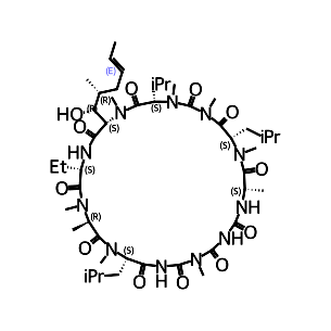 C/C=C/C[C@@H](C)[C@@H](O)[C@H]1C(=O)N[C@@H](CC)C(=O)N(C)[C@H](C)C(=O)N(C)[C@@H](CC(C)C)C(=O)NC(=O)N(C)C(=O)NC(=O)N[C@@H](C)C(=O)N(C)[C@@H](CC(C)C)C(=O)N(C)C(=O)N(C)[C@@H](C(C)C)C(=O)N1C